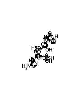 Nc1ncnc2c1ncn2[C@H]1C[C@H](OP(=O)(S)OC[C@H]2O[C@@H](n3cnc4c(=O)[nH]c5nccn5c43)C[C@@H]2O)[C@@H](COP(=O)(O)S)O1